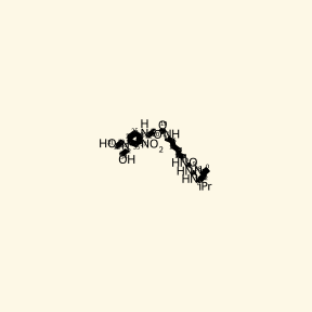 C=C1C=C(C(C)C)NC(NC(=O)NCCCCCCNC(=O)OCCNc2ccc(N(CCO)CCO)cc2[N+](=O)[O-])=N1